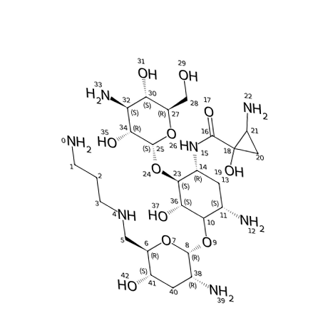 NCCCNC[C@H]1O[C@H](OC2[C@@H](N)C[C@@H](NC(=O)C3(O)CC3N)[C@H](O[C@H]3O[C@H](CO)[C@@H](O)[C@H](N)[C@H]3O)[C@H]2O)[C@H](N)C[C@@H]1O